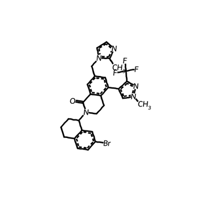 Cc1nccn1Cc1cc2c(c(-c3cn(C)nc3C(F)(F)F)c1)CCN(C1CCCc3ccc(Br)cc31)C2=O